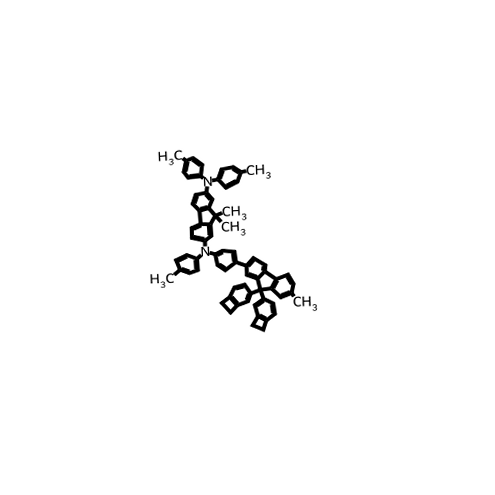 Cc1ccc(N(c2ccc(C)cc2)c2ccc3c(c2)C(C)(C)c2cc(N(c4ccc(C)cc4)c4ccc(-c5ccc6c(c5)C(c5ccc7c(c5)CC7)(c5ccc7c(c5)CC7)c5cc(C)ccc5-6)cc4)ccc2-3)cc1